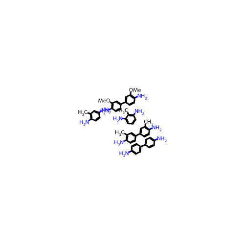 COc1cc(-c2ccc(N)c(OC)c2)ccc1N.Cc1c(N)cccc1N.Cc1cc(-c2ccc(N)c(C)c2)ccc1N.Cc1cc(N)ccc1N.Nc1ccc(-c2ccc(N)cc2)cc1